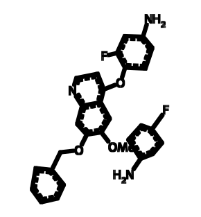 COc1cc2c(Oc3ccc(N)cc3F)ccnc2cc1OCc1ccccc1.Nc1ccc(F)cc1